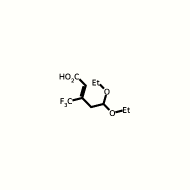 CCOC(CC(=CC(=O)O)C(F)(F)F)OCC